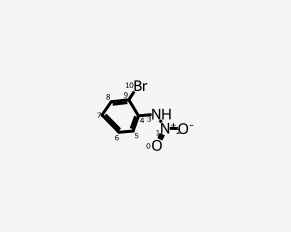 O=[N+]([O-])Nc1ccccc1Br